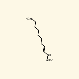 CCCCCCCCCCCCCCCCC=CNCCCCCCCCCC